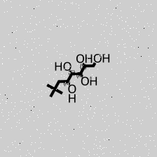 CC(C)(C)C[C@@H](O)[C@H](O)[C@H](O)[C@@H](O)CO